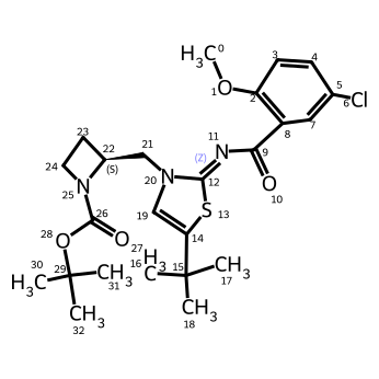 COc1ccc(Cl)cc1C(=O)/N=c1\sc(C(C)(C)C)cn1C[C@@H]1CCN1C(=O)OC(C)(C)C